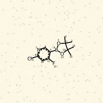 CC1(C)OB(c2cnc(Cl)cc2F)OC1(C)C